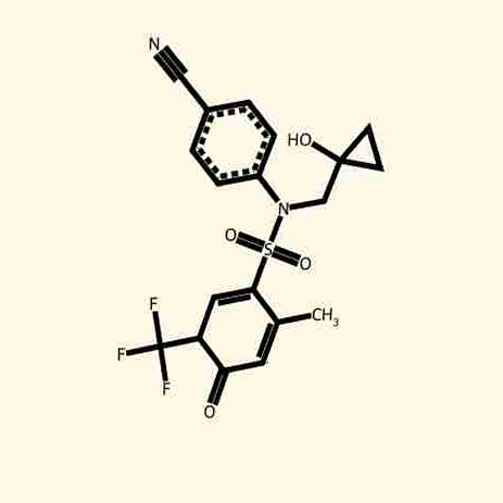 CC1=[C]C(=O)C(C(F)(F)F)C=C1S(=O)(=O)N(CC1(O)CC1)c1ccc(C#N)cc1